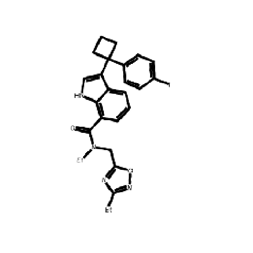 CCc1noc(CN(CC)C(=O)c2cccc3c(C4(c5ccc(I)cc5)CCC4)c[nH]c23)n1